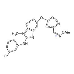 CO/N=C\c1cc(Oc2ccc3c(c2)nc(Nc2cccc(C(C)C)c2)n3C)ccn1